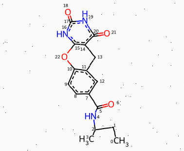 CCC(C)NC(=O)c1ccc2c(c1)Cc1c([nH]c(=O)[nH]c1=O)O2